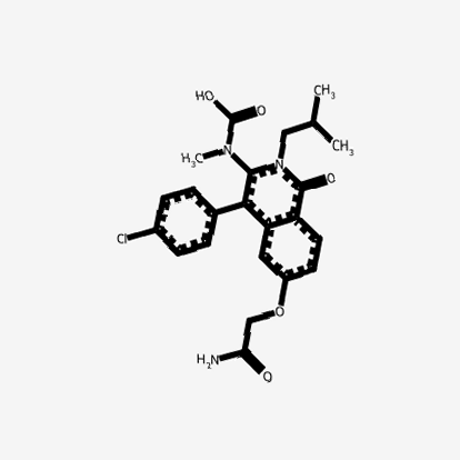 CC(C)Cn1c(N(C)C(=O)O)c(-c2ccc(Cl)cc2)c2cc(OCC(N)=O)ccc2c1=O